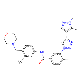 Cc1ccc(C(=O)Nc2ccc(CN3CCOCC3)c(C(F)(F)F)c2)cc1-n1cc(-c2cnn(C)c2C)nn1